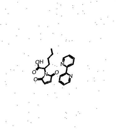 CCCCC(C(=O)O)N1C(=O)C=CC1=O.c1ccc(-c2ccccn2)nc1